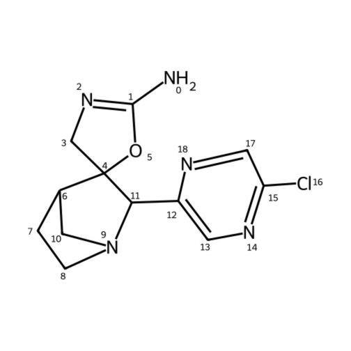 NC1=NCC2(O1)C1CCN(C1)C2c1cnc(Cl)cn1